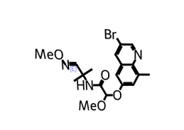 CO/N=C/C(C)(C)NC(=O)C(OC)Oc1cc(C)c2ncc(Br)cc2c1